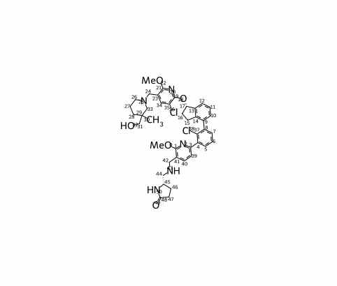 COc1nc(-c2cccc(-c3cccc4c3CC[C@@H]4Oc3nc(OC)c(CN4CCCC(C)(CO)C4)cc3Cl)c2Cl)ccc1CNC[C@@H]1CCC(=O)N1